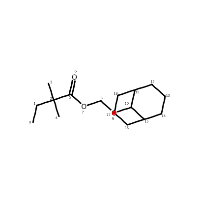 CCC(C)(C)C(=O)OCOC1C2CCCC1CCC2